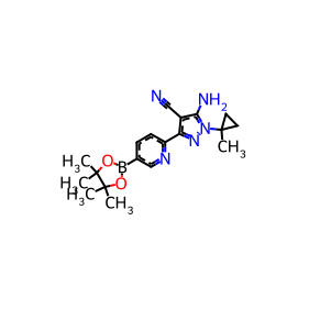 CC1(n2nc(-c3ccc(B4OC(C)(C)C(C)(C)O4)cn3)c(C#N)c2N)CC1